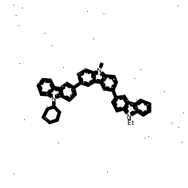 CCn1c2ccccc2c2cc(-c3ccc4c(c3)c3cc(-c5ccc6c(c5)c5ccccc5n6C5CCCCC5)ccc3n4C)ccc21